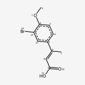 COc1ccc(/C(C)=C/C(=O)O)cc1Br